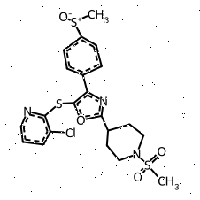 C[S+]([O-])c1ccc(-c2nc(C3CCN(S(C)(=O)=O)CC3)oc2Sc2ncccc2Cl)cc1